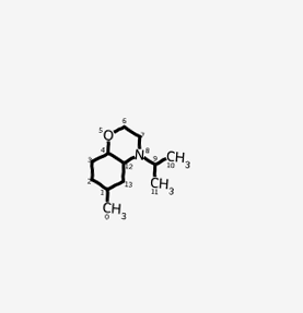 CC1CCC2OCCN(C(C)C)C2C1